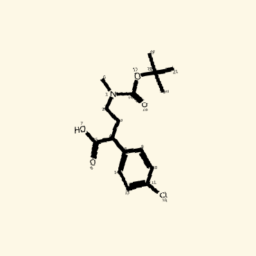 CN(CCC(C(=O)O)c1ccc(Cl)cc1)C(=O)OC(C)(C)C